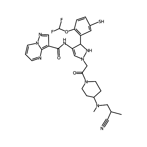 CC(C#N)CN(C)C1CCN(C(=O)CN2C=C(NC(=O)c3cnn4cccnc34)C(c3cc(S)ccc3OC(F)F)N2)CC1